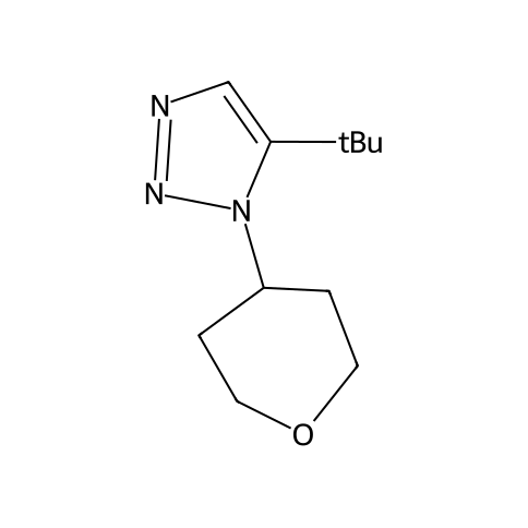 CC(C)(C)c1cnnn1C1CCOCC1